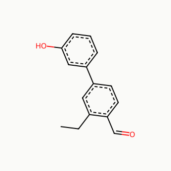 CCc1cc(-c2cccc(O)c2)ccc1C=O